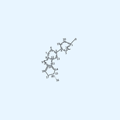 Cc1ccc(-c2ccc3sc4c(c3c2)=C[C@H](C)CC=4)cc1